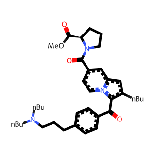 CCCCc1cc2cc(C(=O)N3CCC[C@@H]3C(=O)OC)ccn2c1C(=O)c1ccc(CCCN(CCCC)CCCC)cc1